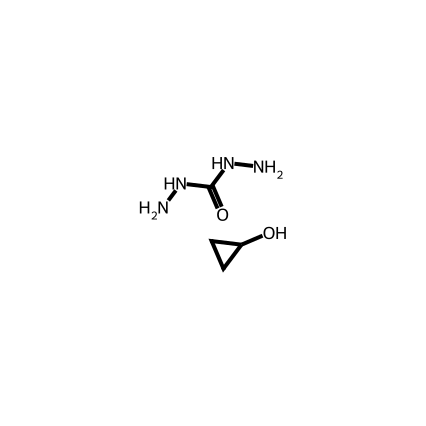 NNC(=O)NN.OC1CC1